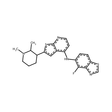 CC1C(c2cc3c(Nc4ccc5scnc5c4F)ccnc3s2)CCCN1C